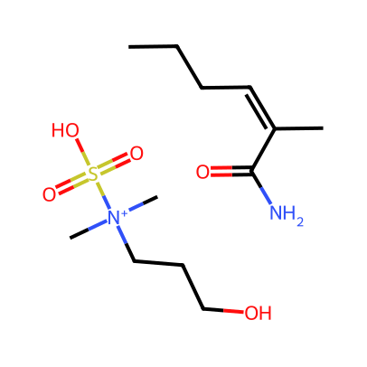 CCCC=C(C)C(N)=O.C[N+](C)(CCCO)S(=O)(=O)O